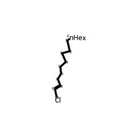 CCCCCCCCCCCCC/C=C/Cl